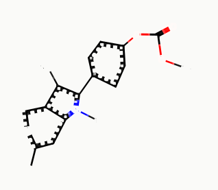 CCn1c(-c2ccc(OC(=O)OC(C)(C)C)cc2)c(C#N)c2ccc(C)cc21